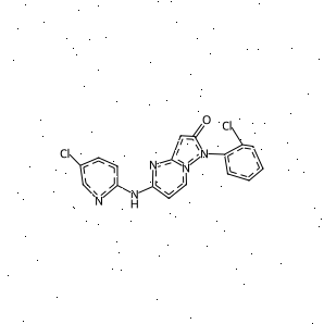 O=c1cc2nc(Nc3ccc(Cl)cn3)ccn2n1-c1ccccc1Cl